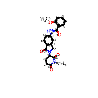 COc1ccccc1C(=O)Nc1ccc2c(c1)CN(C1CCC(=O)N(C)C1=O)C2=O